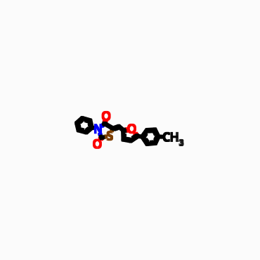 Cc1ccc(-c2ccc(/C=C3\SC(=O)N(c4ccccc4)C3=O)o2)cc1